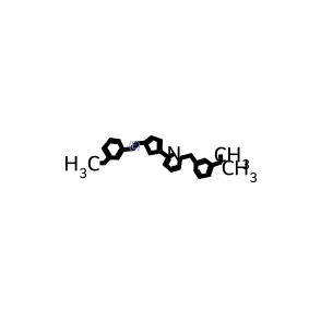 CCc1cccc(/C=C/C2=CC=C(c3cccc(Cc4cccc(C(C)C)c4)n3)C2)c1